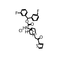 O=C(N[C@H]1C[N+]2(CC(=O)c3cccs3)CCC1CC2)OC(c1cccc(F)c1)c1cccc(F)c1.[Cl-]